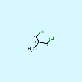 C[C@H](CCl)CBr